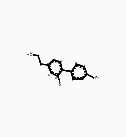 CCCc1ccc(-c2ccc(CCO)cc2F)cc1